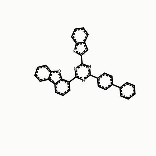 c1ccc(-c2ccc(-c3nc(-c4cc5ccccc5s4)nc(-c4cccc5c4oc4ccccc45)n3)cc2)cc1